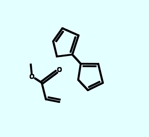 C1=CCC(C2=CC=CC2)=C1.C=CC(=O)OC